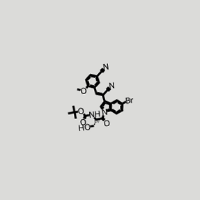 COc1ccc(C#N)cc1C=C(C#N)c1cn(C(=O)[C@H](CO)NC(=O)OC(C)(C)C)c2ccc(Br)cc12